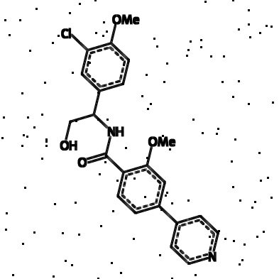 COc1ccc(C(CO)NC(=O)c2ccc(-c3ccncc3)cc2OC)cc1Cl